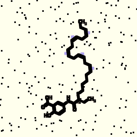 CC/C=C\C/C=C\C/C=C\C/C=C\C/C=C\CCCCS[C@@H](CC)C(=O)Nc1ccc(O)c(C(=O)O)c1